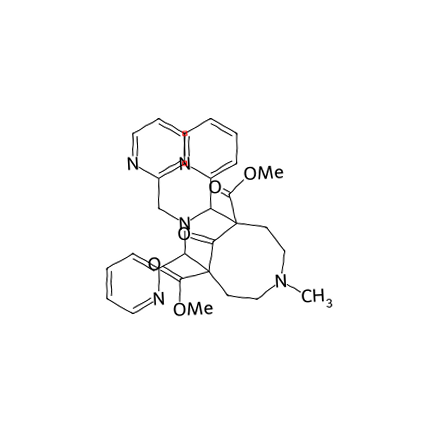 COC(=O)C12CCN(C)CCC(C(=O)OC)(C1=O)C(c1ccccn1)N(Cc1ccccn1)C2c1ccccn1